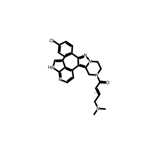 Cc1c[nH]c2nccc(-c3c(-c4ccc(Cl)cc4)nn4c3CN(C(=O)/C=C/CN(C)C)CC4)c12